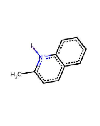 Cc1ccc2ccccc2[n+]1I